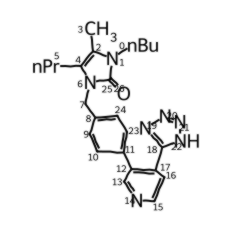 CCCCn1c(C)c(CCC)n(Cc2ccc(-c3cnccc3-c3nnn[nH]3)cc2)c1=O